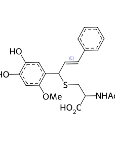 COc1cc(O)c(O)cc1C(/C=C/c1ccccc1)SCC(NC(C)=O)C(=O)O